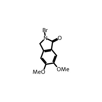 COc1cc2c(cc1OC)C(=O)N(Br)C2